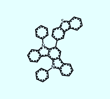 c1ccc(-n2c3ccccc3c3c2c(-c2ccc4sc5ccccc5c4c2)cc2c4ccccc4n(-c4ccccc4)c23)cc1